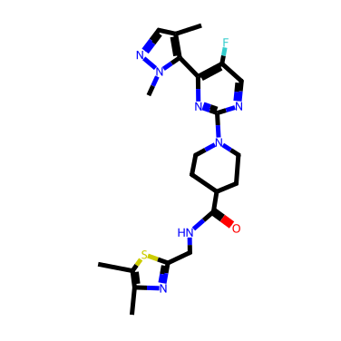 Cc1cnn(C)c1-c1nc(N2CCC(C(=O)NCc3nc(C)c(C)s3)CC2)ncc1F